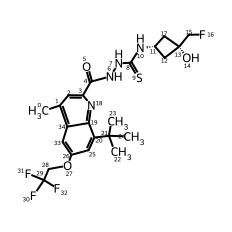 Cc1cc(C(=O)NNC(=S)N[C@H]2C[C@](O)(CF)C2)nc2c(C(C)(C)C)cc(OCC(F)(F)F)cc12